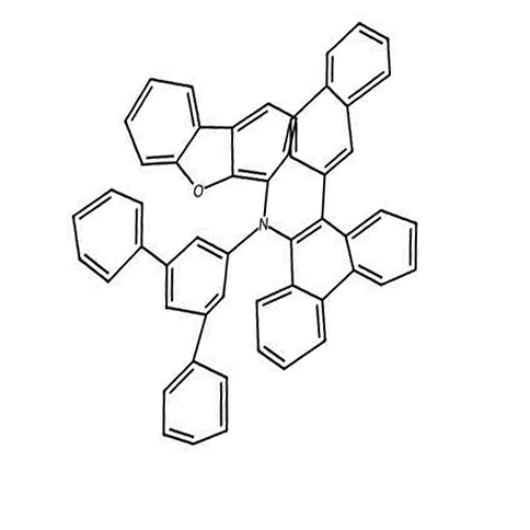 c1ccc(-c2cc(-c3ccccc3)cc(N(c3c(-c4ccc5ccccc5c4)c4ccccc4c4ccccc34)c3cccc4c3oc3ccccc34)c2)cc1